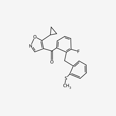 CSc1ccccc1Cc1c(F)cccc1C(=O)c1cnoc1C1CC1